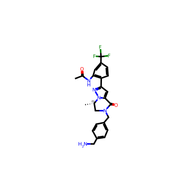 CC(=O)Nc1cc(C(F)(F)F)ccc1-c1cc2n(n1)[C@@H](C)CN(Cc1ccc(CN)cc1)C2=O